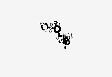 Cc1ccc(C(=O)N[C@@H]2C[C@@H]3C[C@H]([C@H]2C)C3(C)C)cc1S(=O)(=O)C1CNCCO1